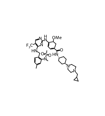 COC1CC(C(=O)N[C@H]2CC[C@H](N3CCN(CC4CC4)CC3)CC2)=CC=C1Nc1ncc(C(F)(F)F)c(NCc2ccc(C)cc2N(C)S(C)(=O)=O)n1